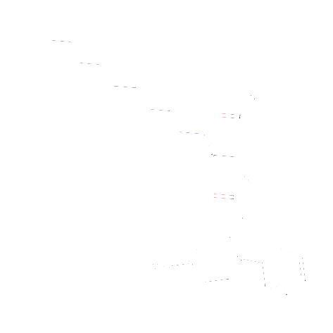 CNN(C)Cc1cc2ccccc2n1CCC(=O)N[C@@H](CC(N)=O)C(=O)NCCOCCOCCC(=O)O